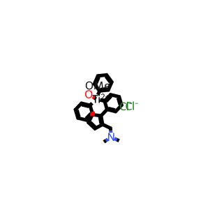 CO[O][Ti+2]([c]1ccccc1)([c]1ccccc1)[c]1ccccc1C1=C(CN(C)C)C=CC1.[Cl-].[Cl-]